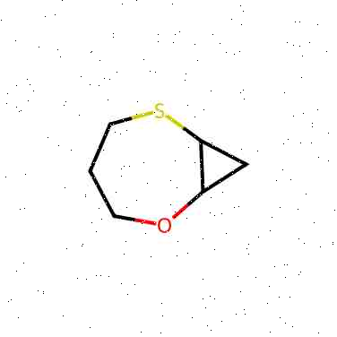 C1COC2CC2SC1